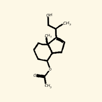 CC(=O)OC1CCCC2(C)C(C(C)CO)=CCC12